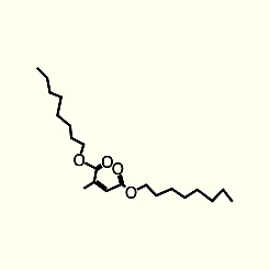 CCCCCCCCOC(=O)/C=C(/C)C(=O)OCCCCCCCC